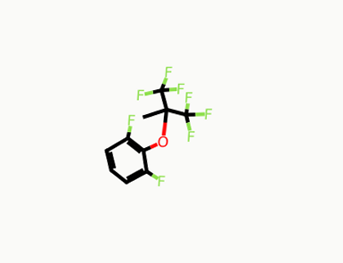 CC(Oc1c(F)cccc1F)(C(F)(F)F)C(F)(F)F